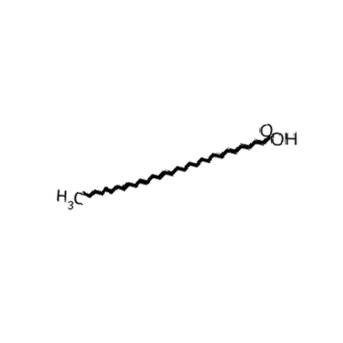 CCCCCC=CCC=CCC=CCC=CCCCCCCCCCCCCCCCC(=O)O